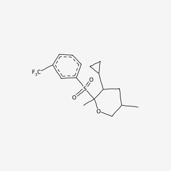 CC1COC(C)(S(=O)(=O)c2cccc(C(F)(F)F)c2)C(C2CC2)C1